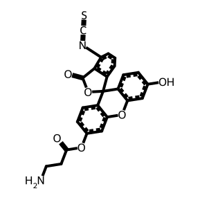 NCCC(=O)Oc1ccc2c(c1)Oc1cc(O)ccc1C21OC(=O)c2c(N=C=S)cccc21